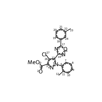 COC(=O)c1nn(-c2ccccc2C)c(-c2noc(-c3cccc(C)c3)n2)c1Cl